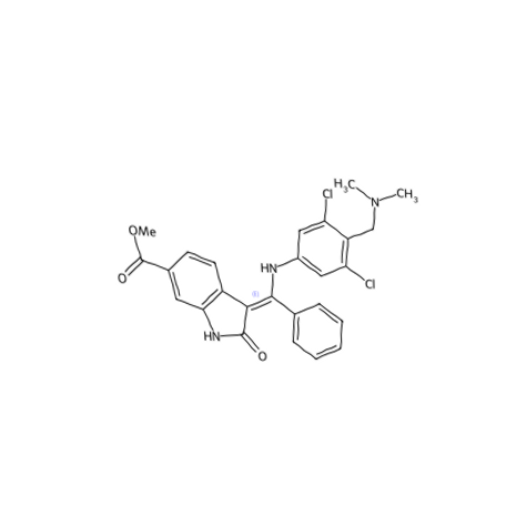 COC(=O)c1ccc2c(c1)NC(=O)/C2=C(/Nc1cc(Cl)c(CN(C)C)c(Cl)c1)c1ccccc1